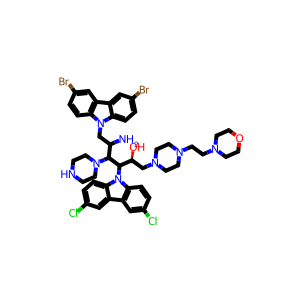 NC(Cn1c2ccc(Br)cc2c2cc(Br)ccc21)C(C([C@@H](O)CN1CCN(CCN2CCOCC2)CC1)n1c2ccc(Cl)cc2c2cc(Cl)ccc21)N1CCNCC1